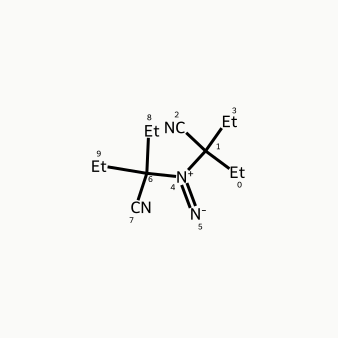 CCC(C#N)(CC)[N+](=[N-])C(C#N)(CC)CC